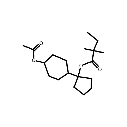 CCC(C)(C)C(=O)OC1(C2CCC(OC(C)=O)CC2)CCCC1